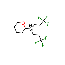 FC(F)(F)CC[SiH](CCC(F)(F)F)C1CCCCO1